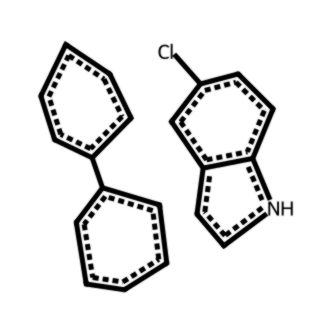 Clc1ccc2[nH]ccc2c1.c1ccc(-c2ccccc2)cc1